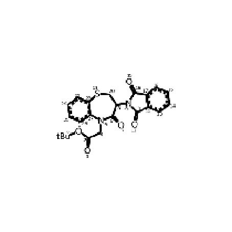 CC(C)(C)OC(=O)CN1C(=O)C(N2C(=O)c3ccccc3C2=O)CSc2ccccc21